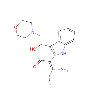 CCC(N)=C(C(C)=O)c1[nH]c2ccccc2c1C(O)CN1CCOCC1